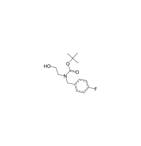 CC(C)(C)OC(=O)N(CCO)Cc1ccc(F)cc1